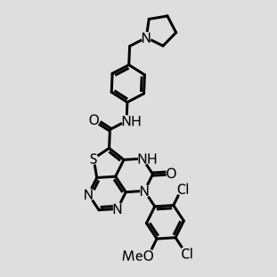 COc1cc(N2C(=O)Nc3c(C(=O)Nc4ccc(CN5CCCC5)cc4)sc4ncnc2c34)c(Cl)cc1Cl